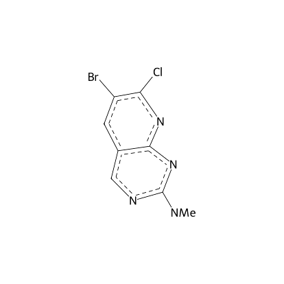 CNc1ncc2cc(Br)c(Cl)nc2n1